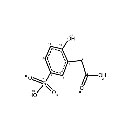 O=C(O)Cc1cc(S(=O)(=O)O)ccc1O